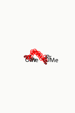 COc1ccc2c3c(c4c(c2c1)OC(c1ccc(OCCCOC(=O)CCC(=O)OC(C)COCC(C)OC(=O)CCC(=O)OCCCOc2ccc(C5(c6ccc(OC(C)C)cc6)C=Cc6c7c(c8ccc(OC)cc8c6O5)-c5ccccc5CC7)cc2)cc1)(c1ccc(OC(C)C)cc1)C=C4)CCc1ccccc1-3